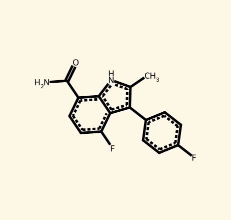 Cc1[nH]c2c(C(N)=O)ccc(F)c2c1-c1ccc(F)cc1